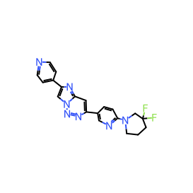 FC1(F)CCCN(c2ccc(-c3cc4nc(-c5ccncc5)cn4nn3)cn2)C1